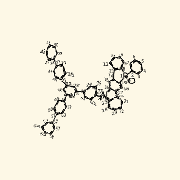 O=P1(c2ccccc2)c2ccccc2-c2cc3c(cc21)c1ccccc1n3-c1ccc(-c2cc(-c3ccc(-c4ccccc4)cc3)cc(-c3ccc(-c4ccccc4)cc3)n2)cc1